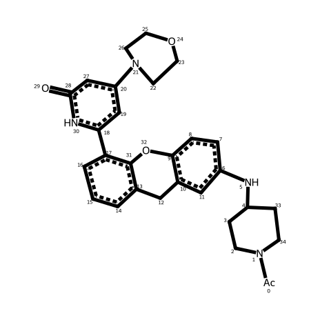 CC(=O)N1CCC(Nc2ccc3c(c2)Cc2cccc(-c4cc(N5CCOCC5)cc(=O)[nH]4)c2O3)CC1